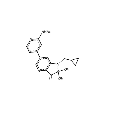 CC(=O)Nc1cc(-c2cnc3c(c2)N(CC2CC2)S(O)(O)N3)ccn1